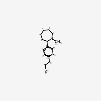 CN1CCCCC[C@H]1c1ccc(CCS)nc1